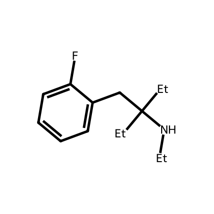 CCNC(CC)(CC)Cc1ccccc1F